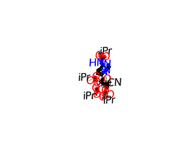 CC(C)OC(=O)Nc1ncnn2c([C@@H]3O[C@](C#N)(COC(=O)OC(C)C)[C@@H](OC(=O)OC(C)C)[C@H]3OC(=O)OC(C)C)ccc12